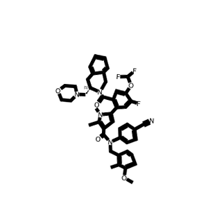 COc1cccc(CN(C(=O)c2cc(-c3cc(F)c(OC(F)F)cc3C(=O)N3Cc4ccccc4C[C@H]3CN3CCOCC3)n(C)c2C)c2ccc(C#N)cc2)c1C